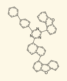 c1ccc(-c2ccc(-c3nc(-c4cccc5c(-c6cccc7oc8ccccc8c67)cccc45)nc(-c4cccc5oc6ccccc6c45)n3)cc2)cc1